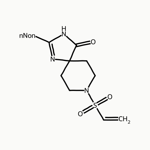 C=CS(=O)(=O)N1CCC2(CC1)N=C(CCCCCCCCC)NC2=O